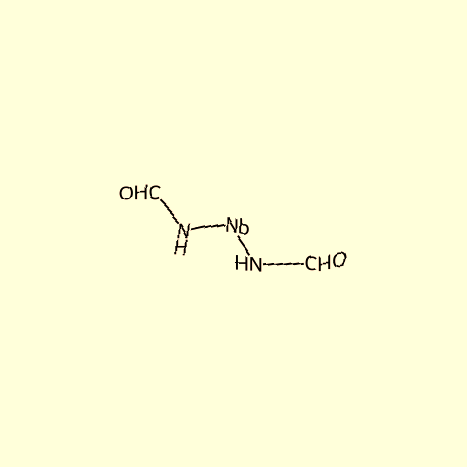 O=C[NH][Nb][NH]C=O